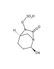 N#C[C@H]1CC[C@@H]2CN1C(=O)N2OS(=O)(=O)O